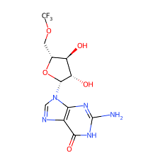 Nc1nc2c(ncn2[C@@H]2O[C@H](COC(F)(F)F)[C@@H](O)[C@@H]2O)c(=O)[nH]1